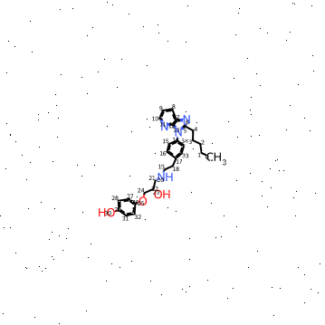 CCCCCc1nc2cccnc2n1-c1ccc(CCNC[C@@H](O)COc2ccc(O)cc2)cc1